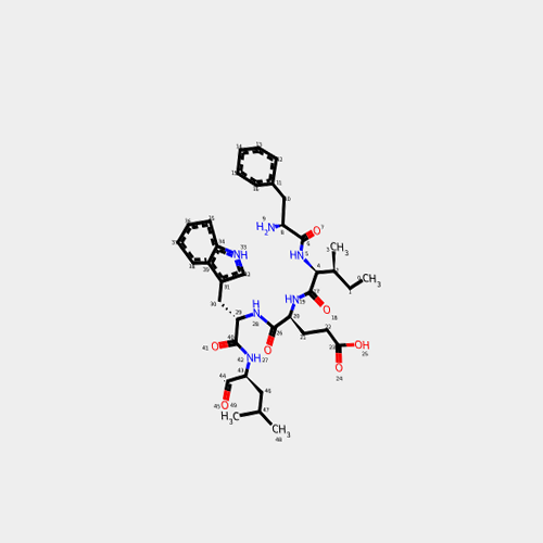 CC[C@H](C)[C@H](NC(=O)[C@@H](N)Cc1ccccc1)C(=O)N[C@@H](CCC(=O)O)C(=O)N[C@@H](Cc1c[nH]c2ccccc12)C(=O)N[C@H]([C]=O)CC(C)C